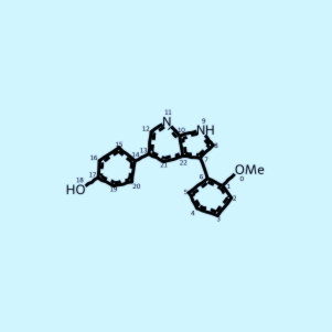 COc1ccccc1-c1c[nH]c2ncc(-c3ccc(O)cc3)cc12